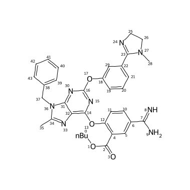 CCCCOC(=O)c1cc(C(=N)N)ccc1Oc1nc(Oc2cccc(C3=NCCN3C)c2)nc2c1nc(C)n2Cc1ccccc1